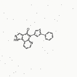 O=c1c2cn[nH]c2c2cccnc2n1-c1csc(-c2ccccc2)c1